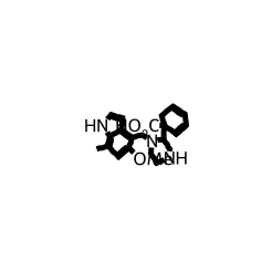 COc1cc(C)c2[nH]ccc2c1CN1CCNCC1C1(C(=O)O)C=CC=CC1